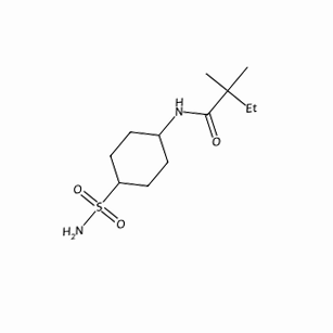 CCC(C)(C)C(=O)NC1CCC(S(N)(=O)=O)CC1